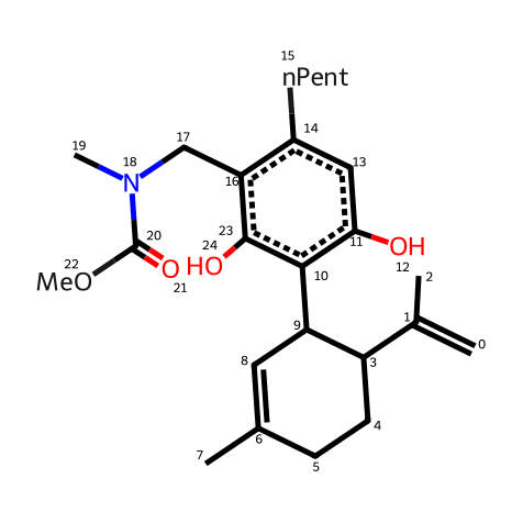 C=C(C)C1CCC(C)=CC1c1c(O)cc(CCCCC)c(CN(C)C(=O)OC)c1O